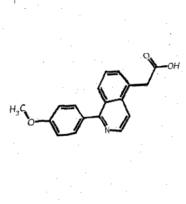 COc1ccc(-c2nccc3c(CC(=O)O)cccc23)cc1